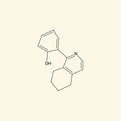 Oc1c[c]c[c]c1-c1nccc2c1CCCC2